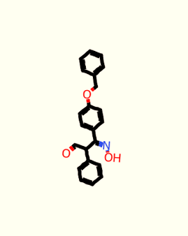 O=CC(C(=NO)c1ccc(OCc2ccccc2)cc1)c1ccccc1